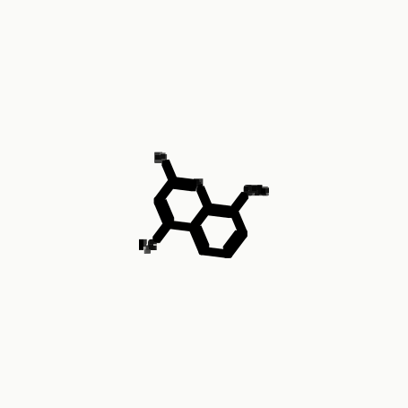 CCc1cc(C(F)(F)F)c2cccc(OC)c2n1